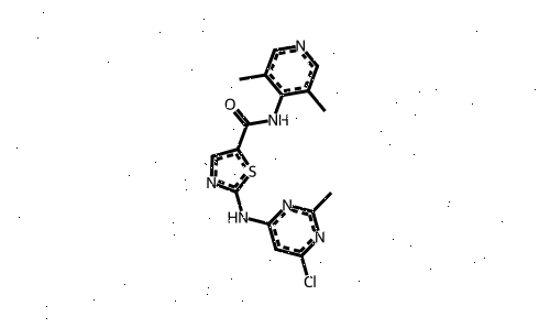 Cc1nc(Cl)cc(Nc2ncc(C(=O)Nc3c(C)cncc3C)s2)n1